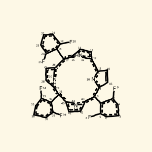 Fc1cccc(F)c1-c1c2nc(c3ccc([nH]3)c(-c3c(F)cccc3F)c3ccc([nH]3)c(-c3c(F)cccc3F)c3ccc1[nH]3)C=C2